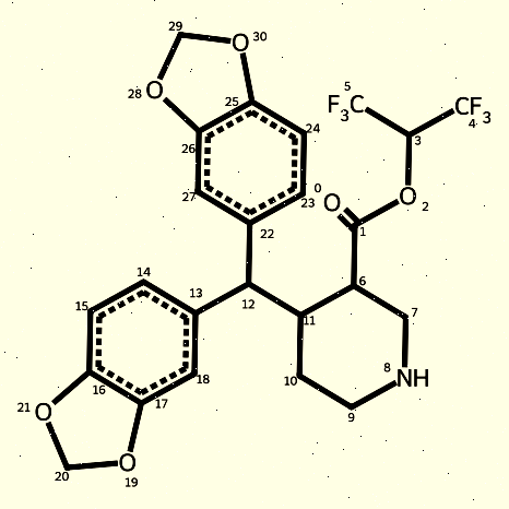 O=C(OC(C(F)(F)F)C(F)(F)F)C1CNCCC1C(c1ccc2c(c1)OCO2)c1ccc2c(c1)OCO2